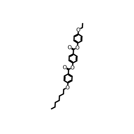 CCCCCCCOc1ccc(C(=O)Oc2ccc(C(=O)Oc3ccc(OCC)cc3)cc2)cc1